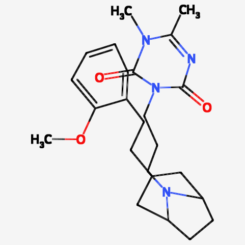 COc1ccccc1CCC1CC2CCC(C1)N2CCCn1c(=O)nc(C)n(C)c1=O